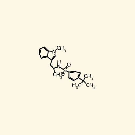 CC(Cc1cn(C)c2ccccc12)NS(=O)(=O)c1ccc(C(C)(C)C)cc1